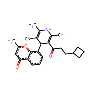 [C-]#[N+]C1=C(C)NC(C)=C(C(=O)CCC2CCC2)C1c1cccc2c(=O)cc(C)oc12